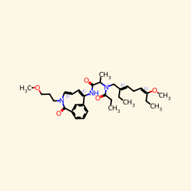 CCC(=O)N(C/C(=C/C/C=C(\CC)OC)CC)C(C)C(=O)N/C1=C/C=C/N(CCCOC)C(=O)c2cccc1c2